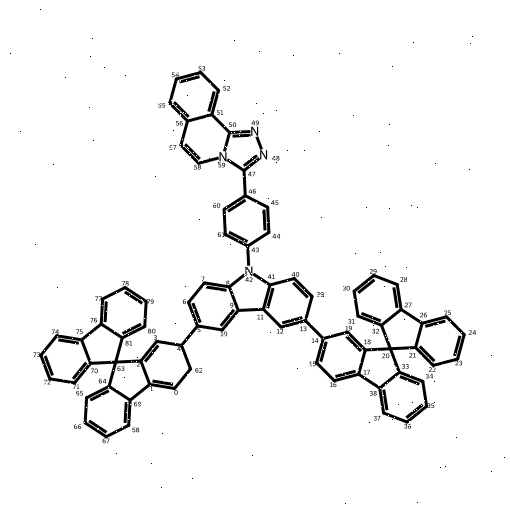 C1=C2C(=CC(c3ccc4c(c3)c3cc(-c5ccc6c(c5)C5(c7ccccc7-c7ccccc75)c5ccccc5-6)ccc3n4-c3ccc(-c4nnc5c6ccccc6ccn45)cc3)C1)C1(c3ccccc32)c2ccccc2-c2ccccc21